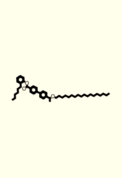 CCCCCCCCCCCCCCCCCCOC(C)c1ccc(-c2ccc(C(=O)Oc3ccccc3CCCCCC)cc2)cc1